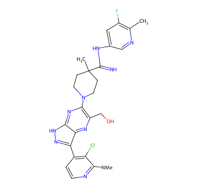 CNc1nccc(-c2n[nH]c3nc(N4CCC(C)(C(=N)Nc5cnc(C)c(F)c5)CC4)c(CO)nc23)c1Cl